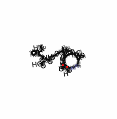 CNN(C)Cc1cc2ccccc2n1CCC(=O)N[C@@H](CCC(=O)O)C(=O)NOCCOCCC(=O)N(C)[C@@H](C)C(=O)O[C@H]1CC(=O)N(C)c2cc(cc(OC)c2Cl)C/C(C)=C/C=C/[C@@H](OC)[C@@]2(O)C[C@H](OC(=O)N2)[C@@H](C)[C@@H]2O[C@]12C